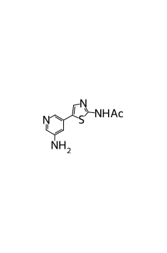 CC(=O)Nc1ncc(-c2cncc(N)c2)s1